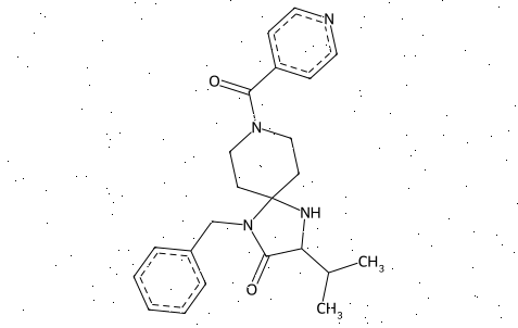 CC(C)C1NC2(CCN(C(=O)c3ccncc3)CC2)N(Cc2ccccc2)C1=O